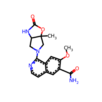 COc1cc2c(N3CC4NC(=O)OC4(C)C3)nccc2cc1C(N)=O